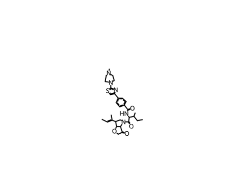 CC=C(C)C1CN(C(=O)C(NC(=O)c2ccc(-c3csc(N4CCN(C)CC4)n3)cc2)C(C)CC)C2C(=O)COC12